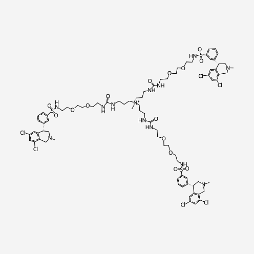 CN1Cc2c(Cl)cc(Cl)cc2[C@H](c2cccc(S(=O)(=O)NCCOCCOCCNC(=O)NCCC[N+](C)(CCCNC(=O)NCCOCCOCCNS(=O)(=O)c3cccc([C@@H]4CN(C)Cc5c(Cl)cc(Cl)cc54)c3)CCCNC(=O)NCCOCCOCCNS(=O)(=O)c3cccc([C@@H]4CN(C)Cc5c(Cl)cc(Cl)cc54)c3)c2)C1